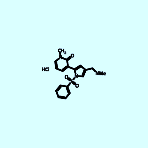 CNCc1cc(-c2cccn(C)c2=O)n(S(=O)(=O)c2ccccc2)c1.Cl